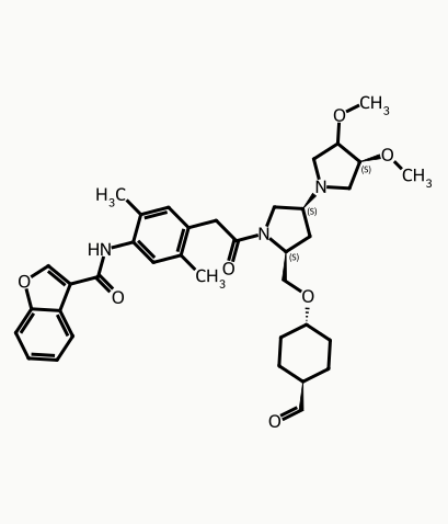 COC1CN([C@H]2C[C@@H](CO[C@H]3CC[C@H](C=O)CC3)N(C(=O)Cc3cc(C)c(NC(=O)c4coc5ccccc45)cc3C)C2)C[C@@H]1OC